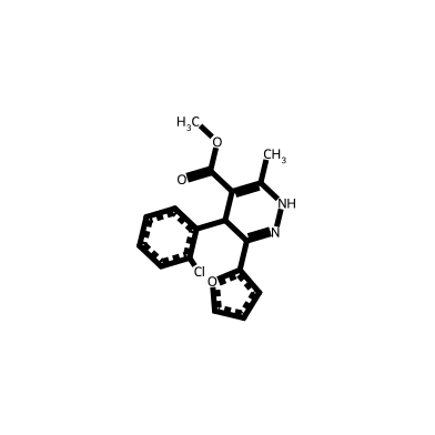 COC(=O)C1=C(C)NN=C(c2ccco2)C1c1ccccc1Cl